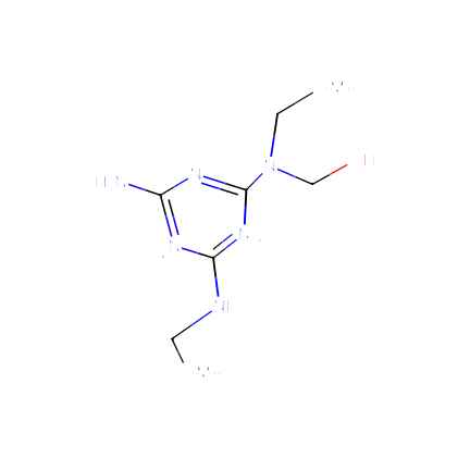 COCNc1nc(N)nc(N(CO)COC)n1